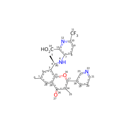 Cc1cc([C@@H](C)Nc2ccc(C(F)(F)F)nc2C(=O)O)c2oc(-c3cccnc3)c(C)c(=O)c2c1